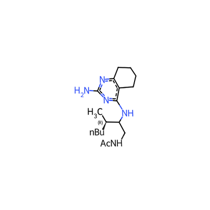 CCCC[C@@H](C)C(CNC(C)=O)Nc1nc(N)nc2c1CCCC2